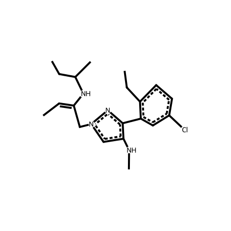 C/C=C(\Cn1cc(NC)c(-c2cc(Cl)ccc2CC)n1)NC(C)CC